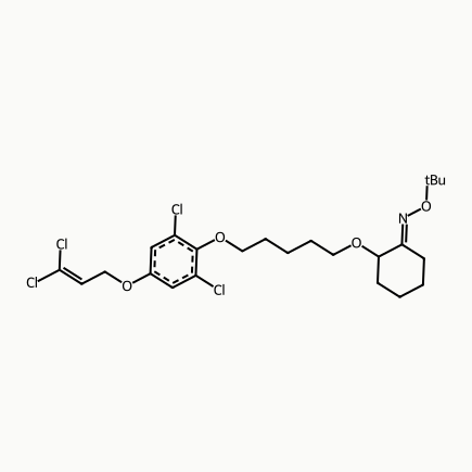 CC(C)(C)ON=C1CCCCC1OCCCCCOc1c(Cl)cc(OCC=C(Cl)Cl)cc1Cl